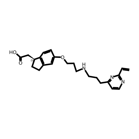 C=Cc1nccc(CCCNCCCOc2ccc3c(c2)CC[C@H]3CC(=O)O)n1